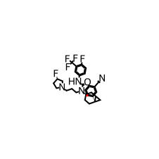 N#Cc1cccc([C@]23CC[C@@H](N(CCCN4CC[C@H](F)C4)C(=O)Nc4ccc(F)c(C(F)(F)F)c4)CC2C3)c1